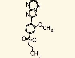 CCCS(=O)(=O)c1ccc(-c2cn3nccnc3n2)c(OC)c1